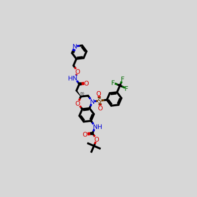 CC(C)(C)OC(=O)Nc1ccc2c(c1)N(S(=O)(=O)c1cccc(C(F)(F)F)c1)C[C@H](CC(=O)NOCc1cccnc1)O2